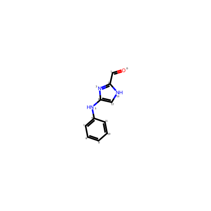 O=Cc1nc(Nc2ccccc2)c[nH]1